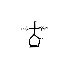 [CH2]C(C(=O)O)(C(=O)O)C1OC=CO1